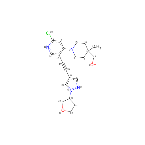 CC1(CO)CCN(c2cc(Cl)ncc2C#Cc2cnn(C3CCOC3)c2)CC1